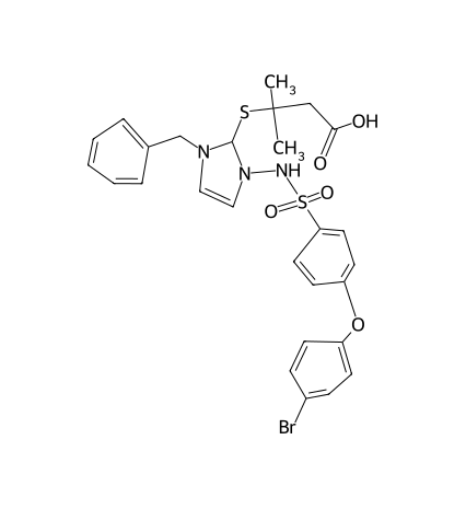 CC(C)(CC(=O)O)SC1N(Cc2ccccc2)C=CN1NS(=O)(=O)c1ccc(Oc2ccc(Br)cc2)cc1